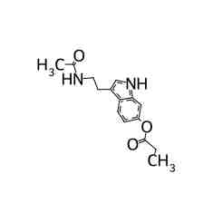 CCC(=O)Oc1ccc2c(CCNC(C)=O)c[nH]c2c1